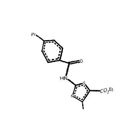 CCOC(=O)c1sc(NC(=O)c2ccc(C(C)C)cc2)nc1C